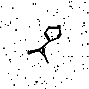 Cc1c(-c2ccncc2)c1=O